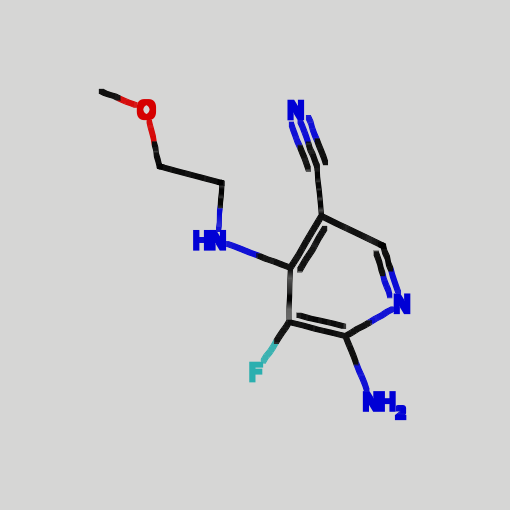 COCCNc1c(C#N)cnc(N)c1F